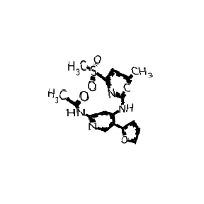 CC(=O)Nc1cc(Nc2cc(C)cc(S(C)(=O)=O)n2)c(-c2ccco2)cn1